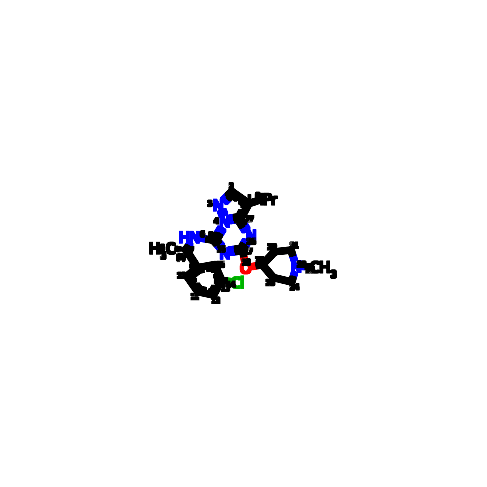 CC(C)c1cnn2c(N[C@H](C)c3cccc(Cl)c3)nc(OC3CCN(C)CC3)nc12